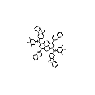 Cc1cc(N(c2ccc3oc4ccccc4c3c2)c2cc(-c3ccc4ccccc4c3)c3ccc4c(N(c5cc(C)c(C)c(C)c5)c5ccc6oc7ccccc7c6c5)cc(-c5ccc6ccccc6c5)c5ccc2c3c54)cc(C)c1C